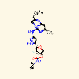 COCc1cn2c(Nc3cc([C@@H]4OC[C@H](OC(=O)NC5(C)CC5)[C@@H]4F)[nH]n3)nc(C(F)(F)F)cc2n1